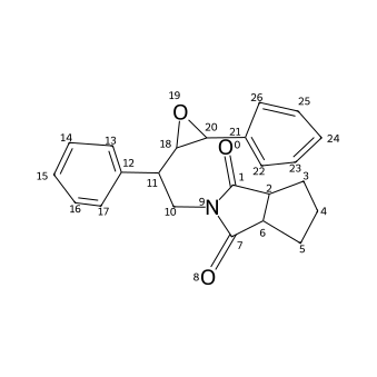 O=C1C2CCCC2C(=O)N1CC(c1ccccc1)C1OC1c1ccccc1